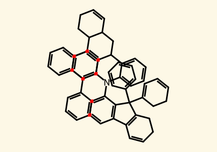 C1=CCCC(C2(c3ccccc3)C3=C(C=CCC3)c3cccc(N(c4ccccc4C4CC5C=CCCC5C5=C4CCC=C5)c4ccc5ccccc5c4-c4ccccc4)c32)=C1